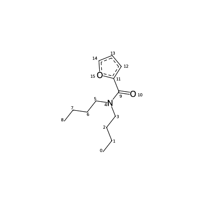 CCCCN(CCCC)C(=O)c1ccco1